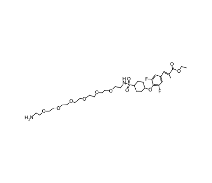 CCOC(=O)/C(C)=C/c1cc(F)c(OC2CCC(S(=O)(=O)NCCOCCOCCOCCOCCOCCOCCN)CC2)c(F)c1